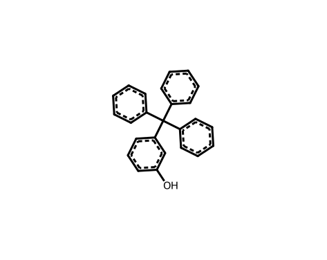 Oc1cccc(C(c2ccccc2)(c2ccccc2)c2ccccc2)c1